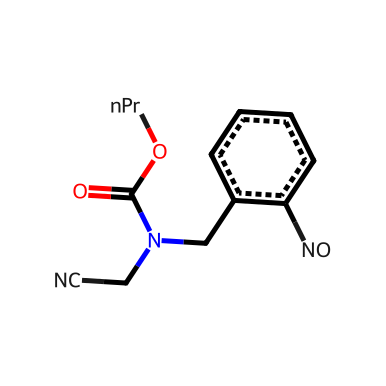 CCCOC(=O)N(CC#N)Cc1ccccc1N=O